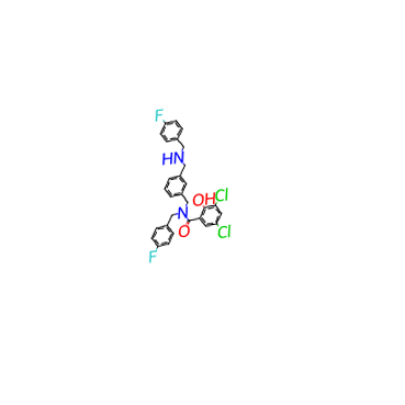 O=C(c1cc(Cl)cc(Cl)c1O)N(Cc1ccc(F)cc1)Cc1cccc(CNCc2ccc(F)cc2)c1